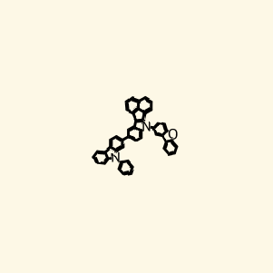 c1ccc(-n2c3ccccc3c3ccc(-c4ccc5c(c4)c4c(n5-c5ccc6oc7ccccc7c6c5)-c5cccc6cccc-4c56)cc32)cc1